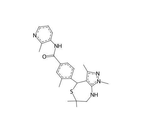 Cc1cc(C(=O)Nc2cccnc2C)ccc1C1SC(C)(C)CNc2c1c(C)nn2C